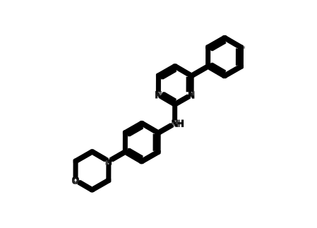 [c]1ccc(-c2ccnc(Nc3ccc(N4CCOCC4)cc3)n2)cc1